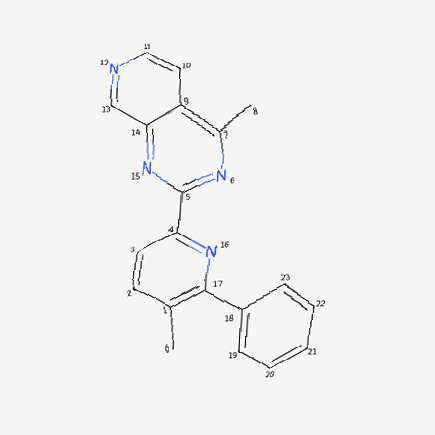 Cc1ccc(-c2nc(C)c3ccncc3n2)nc1-c1ccccc1